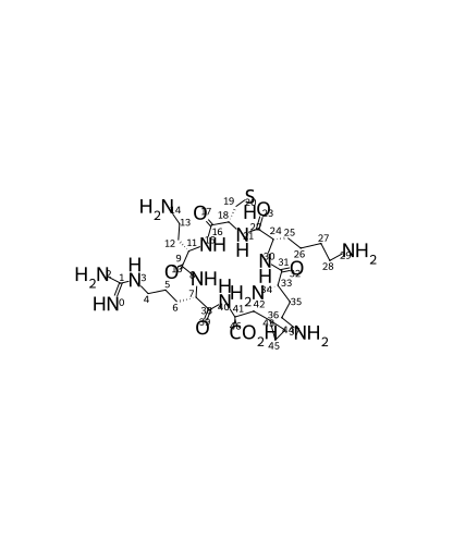 N=C(N)NCCC[C@H](NC(=O)[C@H](CCN)NC(=O)[C@H](CS)NC(=O)[C@H](CCCCN)NC(=O)[C@@H](N)CCN)C(=O)N[C@@H](CC1CC1)C(=O)O